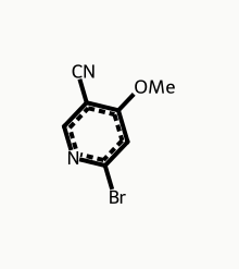 COc1cc(Br)ncc1C#N